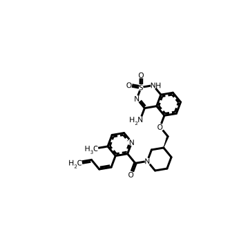 C=C/C=C\c1c(C)ccnc1C(=O)N1CCC[C@H](COc2cccc3c2C(N)=NS(=O)(=O)N3)C1